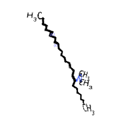 CCCCC/C=C/C/C=C/CCCCCCCCCC(CCCCCCC)N(C)C